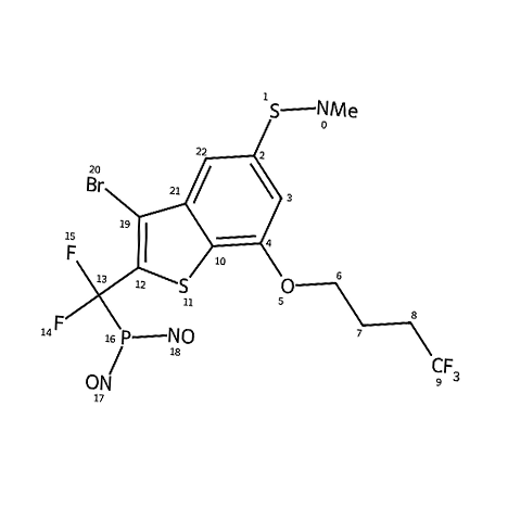 CNSc1cc(OCCCC(F)(F)F)c2sc(C(F)(F)P(N=O)N=O)c(Br)c2c1